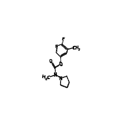 Cc1cc(OC(=O)N(C)N2CCCC2)cnc1F